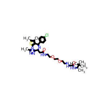 Cc1sc2c(c1C)C(c1ccc(Cl)cc1)=NC(CC(=O)NCCOCCOCCNCC(=O)N[C@@H](C)C(C)(C)C)c1nnc(C)n1-2